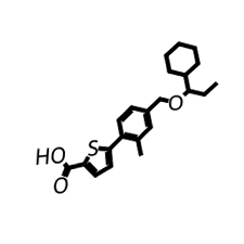 CCC(OCc1ccc(-c2ccc(C(=O)O)s2)c(C)c1)C1CCCCC1